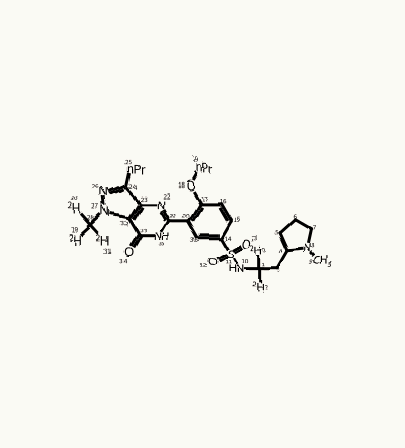 [2H]C([2H])(CC1CCCN1C)NS(=O)(=O)c1ccc(OCCC)c(-c2nc3c(CCC)nn(C([2H])([2H])[2H])c3c(=O)[nH]2)c1